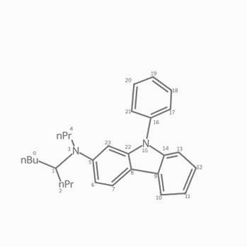 CCCCC(CCC)N(CCC)c1ccc2c3ccccc3n(-c3ccccc3)c2c1